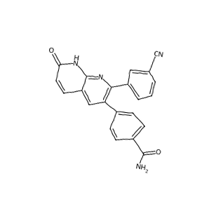 N#Cc1cccc(-c2nc3[nH]c(=O)ccc3cc2-c2ccc(C(N)=O)cc2)c1